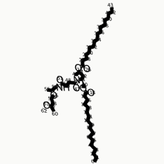 CCCCCCCCCCCCCCCCCC(=O)OC[C@@H]1C[C@@H](OC(=O)CCCCCCCCCCCCCCCCC)CN1C(=O)CCC(=O)NCC(C)OCCC(C)OC